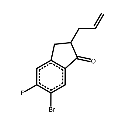 C=CCC1Cc2cc(F)c(Br)cc2C1=O